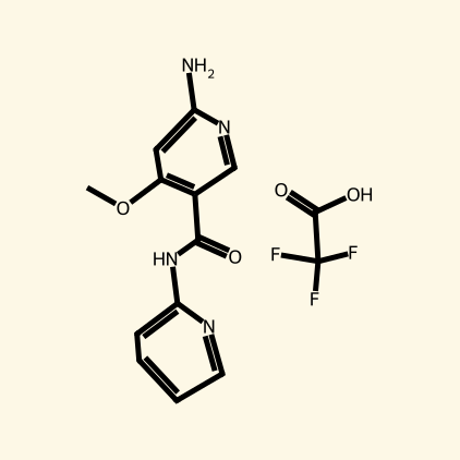 COc1cc(N)ncc1C(=O)Nc1ccccn1.O=C(O)C(F)(F)F